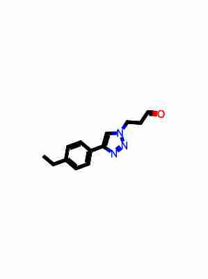 CCc1ccc(-c2cn(CCC=O)nn2)cc1